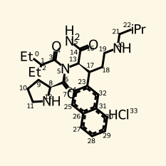 CCC(CC)C(=O)N(C(=O)[C@@H]1CCCN1)[C@@H](C(N)=O)C(CCNCC(C)C)c1ccc2ccccc2c1.Cl